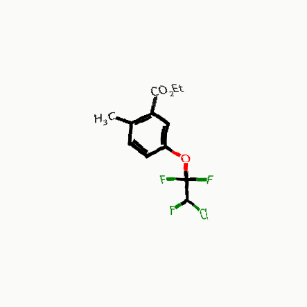 CCOC(=O)c1cc(OC(F)(F)C(F)Cl)ccc1C